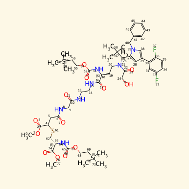 COC(=O)C(CC(=O)NCC(=O)NCCNC(=O)[C@H](CCN(C(=O)CO)[C@@H](c1cc(-c2cc(F)ccc2F)cn1Cc1ccccc1)C(C)(C)C)NC(=O)OCC[Si](C)(C)C)SC[C@H](NC(=O)OCC[Si](C)(C)C)C(=O)OC